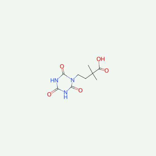 CC(C)(CCn1c(=O)[nH]c(=O)[nH]c1=O)C(=O)O